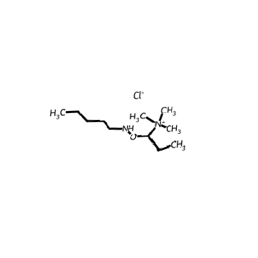 CCCCCNOC(CC)[N+](C)(C)C.[Cl-]